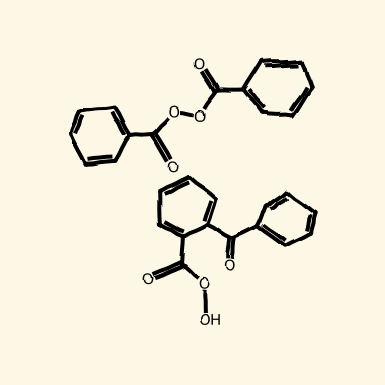 O=C(OO)c1ccccc1C(=O)c1ccccc1.O=C(OOC(=O)c1ccccc1)c1ccccc1